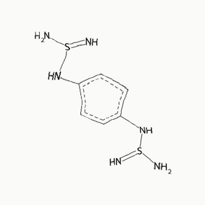 N=S(N)Nc1ccc(NS(=N)N)cc1